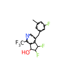 Cc1cc(F)cc(Cc2cnc(C(F)(F)F)c3c2C(F)C(F)C3O)c1